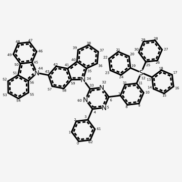 c1ccc(-c2nc(-c3cccc(S(c4ccccc4)(c4ccccc4)c4ccccc4)c3)nc(-n3c4ccccc4c4cc(-n5c6ccccc6c6ccccc65)ccc43)n2)cc1